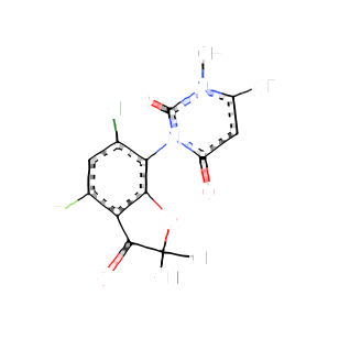 Cn1c(C(F)(F)F)cc(=O)n(-c2c(Cl)cc(F)c3c2OC(C)(C)C3=O)c1=O